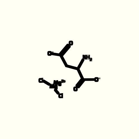 NC(CC(=O)[O-])C(=O)[O-].[Cl][Mg][Cl].[Mg+2]